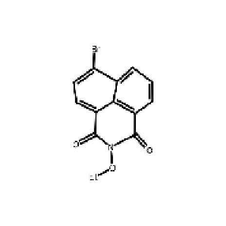 CCON1C(=O)c2cccc3c(Br)ccc(c23)C1=O